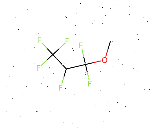 [CH2]OC(F)(F)C(F)C(F)(F)F